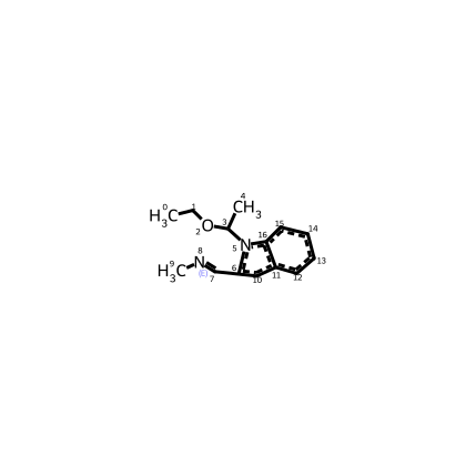 CCOC(C)n1c(/C=N/C)cc2ccccc21